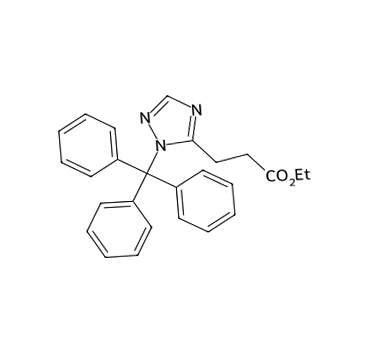 CCOC(=O)CCc1ncnn1C(c1ccccc1)(c1ccccc1)c1ccccc1